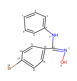 O/N=C(/Nc1ccccc1)c1ccc(Br)cc1